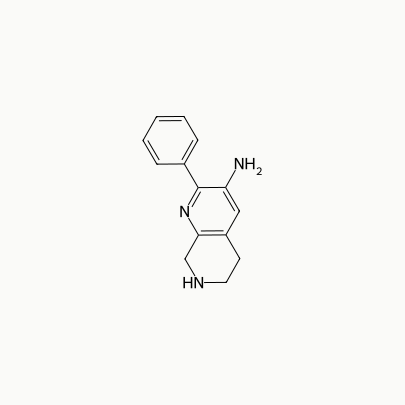 Nc1cc2c(nc1-c1ccccc1)CNCC2